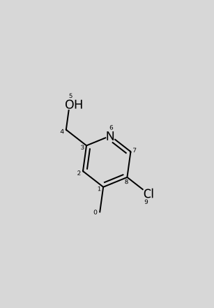 Cc1cc(CO)ncc1Cl